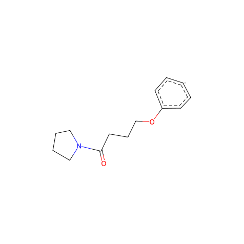 O=C(CCCOc1cc[c]cc1)N1CCCC1